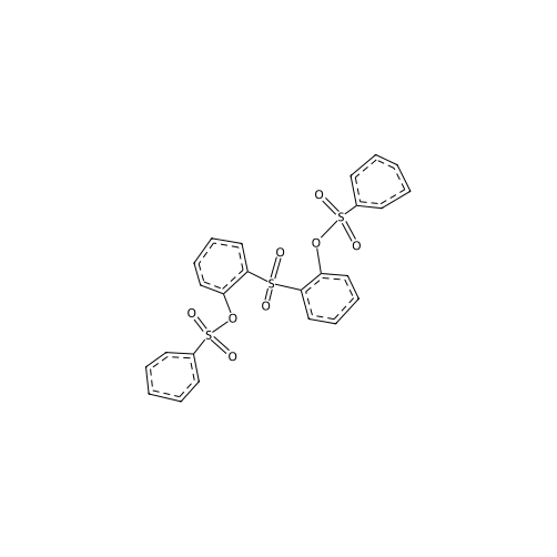 O=S(=O)(Oc1ccccc1S(=O)(=O)c1ccccc1OS(=O)(=O)c1ccccc1)c1ccccc1